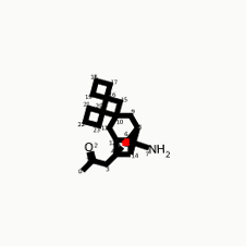 CC(=O)CC12CC(N)C34CC5(CC1C3C24)CC1(CCC1)C51CCC1